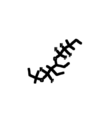 CCC(OC(F)(F)C(F)(F)C(C)(C)CC)C(C)(CC)C(F)(F)OC(C)(C)CC